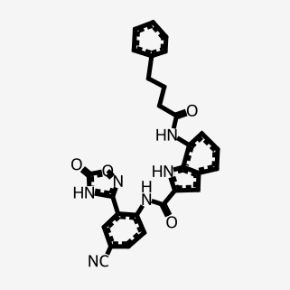 N#Cc1ccc(NC(=O)c2cc3cccc(NC(=O)CCCc4ccccc4)c3[nH]2)c(-c2noc(=O)[nH]2)c1